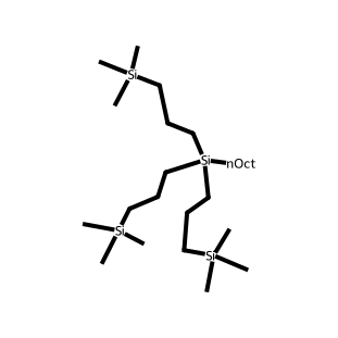 CCCCCCCC[Si](CCC[Si](C)(C)C)(CCC[Si](C)(C)C)CCC[Si](C)(C)C